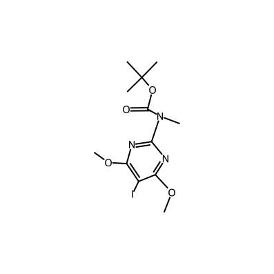 COc1nc(N(C)C(=O)OC(C)(C)C)nc(OC)c1I